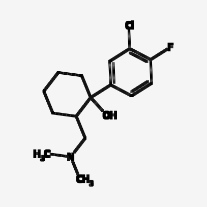 CN(C)CC1CCCCC1(O)c1ccc(F)c(Cl)c1